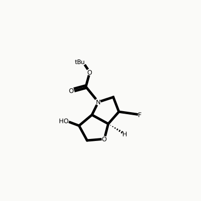 CC(C)(C)OC(=O)N1CC(F)[C@H]2OCC(O)C21